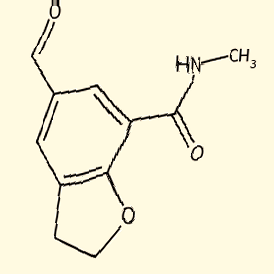 CNC(=O)c1cc(C=O)cc2c1OCC2